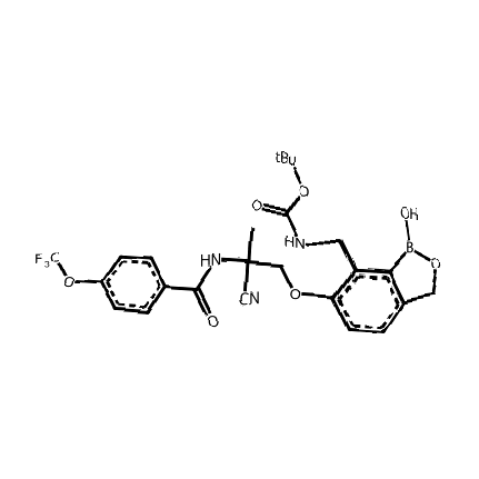 CC(C#N)(COc1ccc2c(c1CNC(=O)OC(C)(C)C)B(O)OC2)NC(=O)c1ccc(OC(F)(F)F)cc1